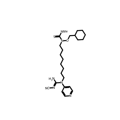 CNC(=S)N(CCCCCCCCN(C(N)=NC#N)c1ccncc1)OCC1CCCCC1